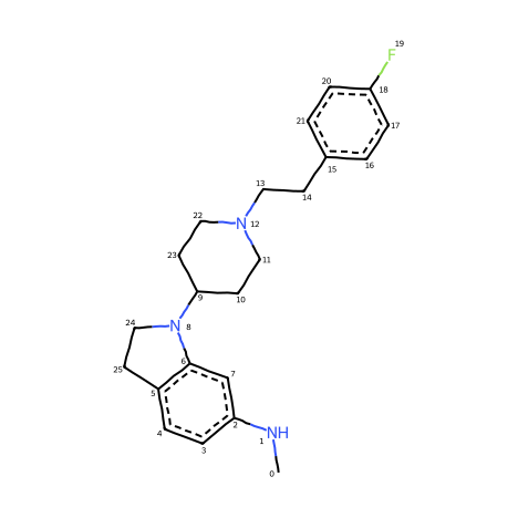 CNc1ccc2c(c1)N(C1CCN(CCc3ccc(F)cc3)CC1)CC2